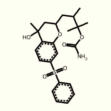 CC(CC1CC(C)(O)c2ccc(S(=O)(=O)c3ccccc3)cc2O1)C(C)(C)OC(N)=O